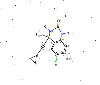 CN1C(=O)N(C)C(C#CC2CC2)(C(F)(F)F)c2cc(Cl)c(Br)cc21